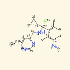 C=N/C(C)=C(\C)C(=C(C)C)C(F)(NCc1cc(C(C)C)ncn1)C1CC1